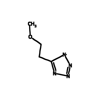 COCCC1=NN=N[N]1